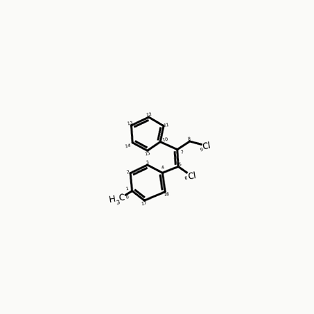 Cc1ccc(/C(Cl)=C(/CCl)c2ccccc2)cc1